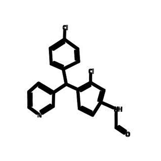 O=CNc1ccc(C(c2ccc(Cl)cc2)c2cccnc2)c(Cl)c1